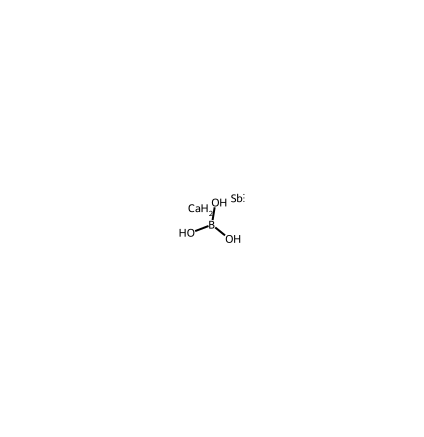 OB(O)O.[CaH2].[Sb]